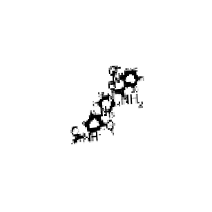 COc1cc(NC(C)=O)ccc1N1CCN(CC(N)c2ccccc2[N+](=O)[O-])CC1